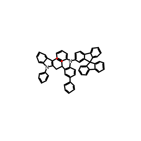 C1=CC(c2cc(-c3ccccc3)ccc2N(c2ccccc2)c2ccc3c(c2)C2(c4ccccc4-c4ccccc42)c2ccccc2-3)Cc2c1c1ccccc1n2-c1ccccc1